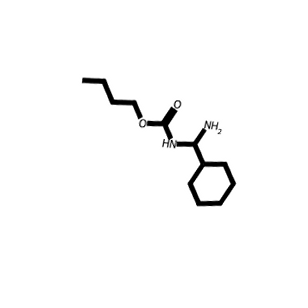 CCCCOC(=O)NC(N)C1CCCCC1